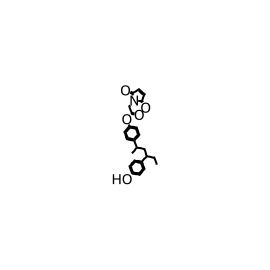 CCC(CC(C)c1ccc(OC(=O)CN2C(=O)C=CC2=O)cc1)c1ccc(O)cc1